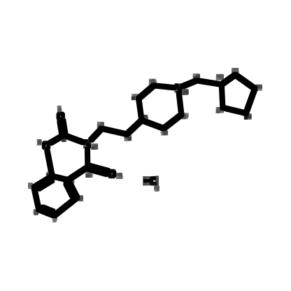 Cl.O=c1oc2ccccc2c(=O)n1CCC1CCN(CC2CCCC2)CC1